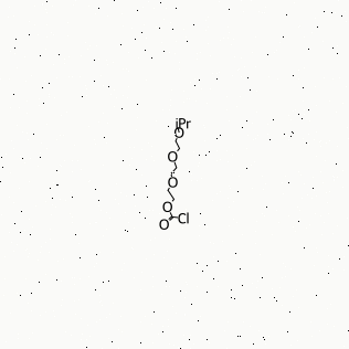 CC(C)OCCOCCOCCOC(=O)Cl